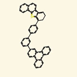 C1=c2c(sc3c2ccc2ccccc23)=C(c2ccc(-c3cccc(-c4ccc5c6ccccc6c6ccccc6c5c4)c3)cc2)CC1